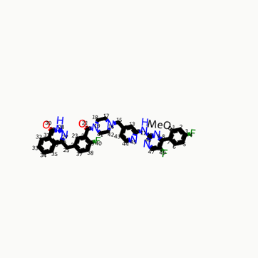 COc1cc(F)ccc1-c1nc(Nc2cc(CN3CCN(C(=O)c4cc(Cc5n[nH]c(=O)c6ccccc56)ccc4F)CC3)ccn2)ncc1F